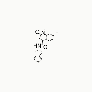 CN1C(=O)CC(C(=O)NC2Cc3ccccc3C2)c2ccc(F)cc21